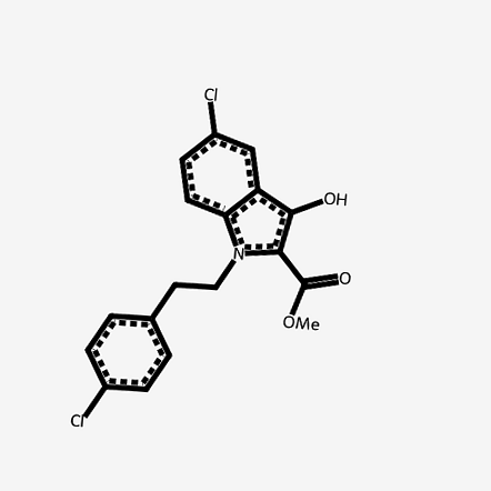 COC(=O)c1c(O)c2cc(Cl)ccc2n1CCc1ccc(Cl)cc1